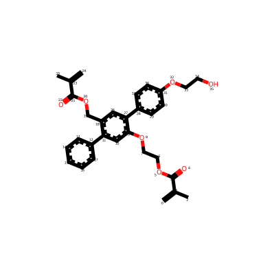 C=C(C)C(=O)OCCOc1cc(-c2ccccc2)c(COC(=O)C(=C)C)cc1-c1ccc(OCCO)cc1